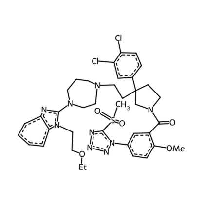 CCOCCn1c(N2CCCN(CCC3(c4ccc(Cl)c(Cl)c4)CCN(C(=O)c4cc(-n5nnnc5S(C)(=O)=O)ccc4OC)C3)CC2)nc2ccccc21